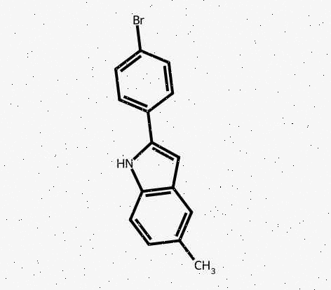 Cc1ccc2[nH]c(-c3ccc(Br)cc3)cc2c1